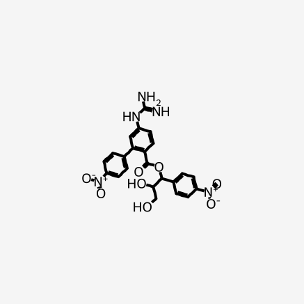 N=C(N)Nc1ccc(C(=O)OC(c2ccc([N+](=O)[O-])cc2)C(O)CO)c(-c2ccc([N+](=O)[O-])cc2)c1